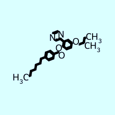 CCCCCCCc1ccc(C(=O)Oc2ccc(OCC(C)CC)cc2-c2cnccn2)cc1